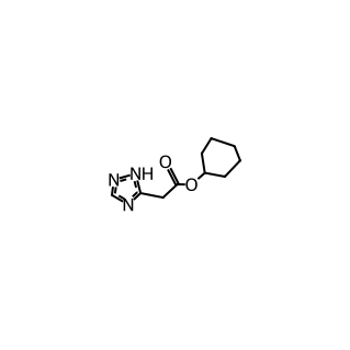 O=C(Cc1ncn[nH]1)OC1CCCCC1